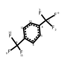 FC(F)(F)c1[c]cc(C(F)(F)F)[c]c1